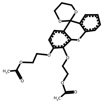 CC(=O)OCCOc1ccc2c(c1OCCOC(C)=O)Sc1ccccc1C21OCCCO1